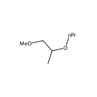 CC[CH]OC(C)COC